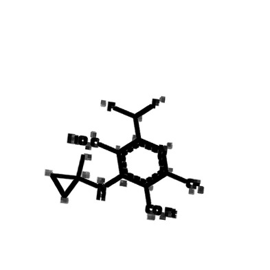 CCOC(=O)c1c(C(F)F)nc(C(F)(F)F)c(C(=O)OCC)c1NC1(C)CC1